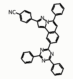 N#Cc1ccc(-c2cc3c4cc(-c5nc(-c6ccccc6)nc(-c6ccccc6)n5)ccc4cc(-c4ccccc4)n3n2)cc1